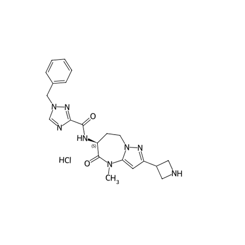 CN1C(=O)[C@@H](NC(=O)c2ncn(Cc3ccccc3)n2)CCn2nc(C3CNC3)cc21.Cl